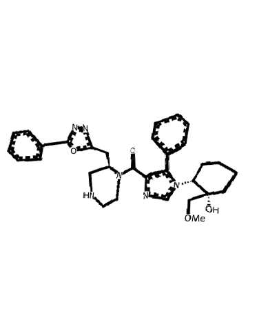 COC[C@]1(O)CCCC[C@H]1n1cnc(C(=O)N2CCNC[C@H]2Cc2nnc(-c3ccccc3)o2)c1-c1ccccc1